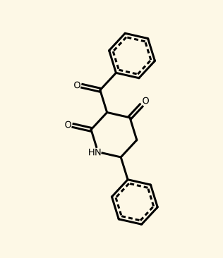 O=C1CC(c2ccccc2)NC(=O)C1C(=O)c1ccccc1